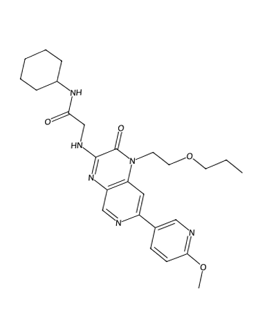 CCCOCCn1c(=O)c(NCC(=O)NC2CCCCC2)nc2cnc(-c3ccc(OC)nc3)cc21